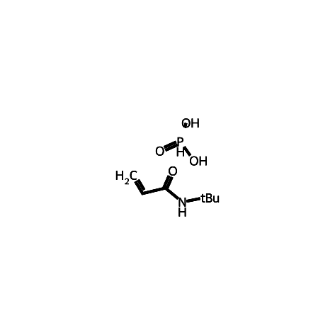 C=CC(=O)NC(C)(C)C.O=[PH](O)O